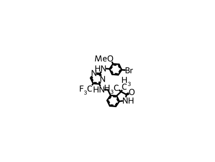 COc1cc(Br)ccc1Nc1ncc(C(F)(F)F)c(NCc2cccc3c2C(C)(C)C(=O)N3)n1